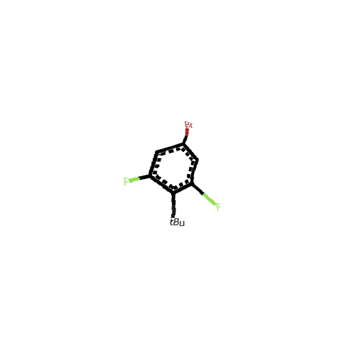 CC(C)(C)c1c(F)cc(Br)cc1F